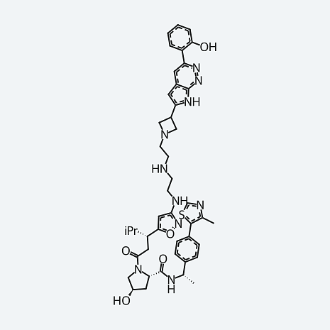 Cc1ncsc1-c1ccc([C@H](C)NC(=O)[C@@H]2C[C@@H](O)CN2C(=O)C[C@@H](c2cc(NCCNCCN3CC(c4cc5cc(-c6ccccc6O)nnc5[nH]4)C3)no2)C(C)C)cc1